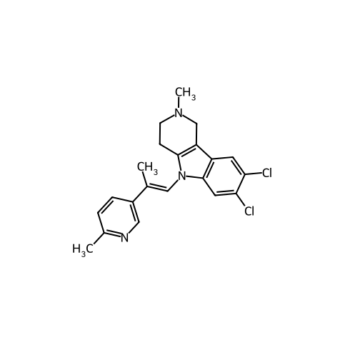 C/C(=C\n1c2c(c3cc(Cl)c(Cl)cc31)CN(C)CC2)c1ccc(C)nc1